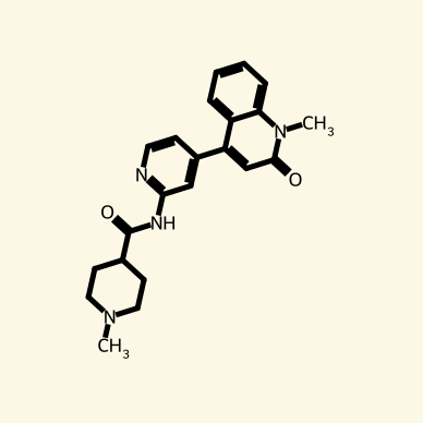 CN1CCC(C(=O)Nc2cc(-c3cc(=O)n(C)c4ccccc34)ccn2)CC1